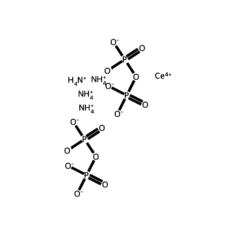 O=P([O-])([O-])OP(=O)([O-])[O-].O=P([O-])([O-])OP(=O)([O-])[O-].[Ce+4].[NH4+].[NH4+].[NH4+].[NH4+]